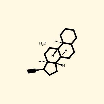 C#C[C@@H]1CC[C@H]2[C@@H]3CCC4CCCC[C@]4(C)[C@H]3CC[C@]12C.O